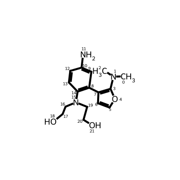 CN(C)c1occc1-c1cc(N)ccc1N(CCO)CCO